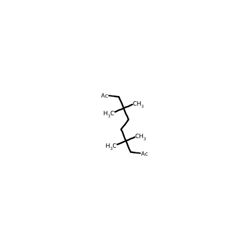 CC(=O)CC(C)(C)CCC(C)(C)CC(C)=O